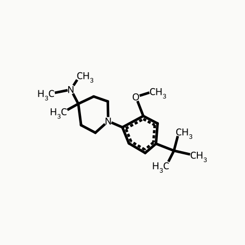 COc1cc(C(C)(C)C)ccc1N1CCC(C)(N(C)C)CC1